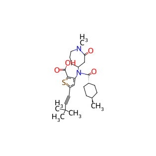 CN1CCCC(N(c2cc(C#CC(C)(C)C)sc2C(=O)O)C(=O)[C@H]2CC[C@H](C)CC2)CC1=O